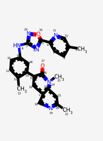 Cc1ccc(-c2nc(Nc3ccc(C)c(-c4cc5cnc(C)cc5n(C)c4=O)c3)no2)nc1